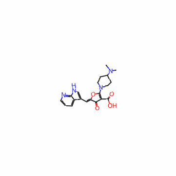 CN(C)C1CCN(C2=C(C(=O)O)C(=O)/C(=C/c3c[nH]c4ncccc34)O2)CC1